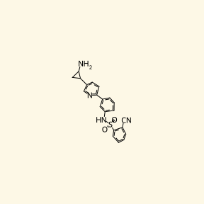 N#Cc1ccccc1S(=O)(=O)Nc1cccc(-c2ccc(C3CC3N)cn2)c1